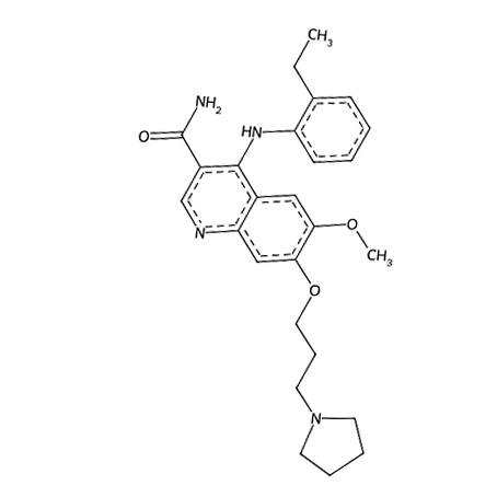 CCc1ccccc1Nc1c(C(N)=O)cnc2cc(OCCCN3CCCC3)c(OC)cc12